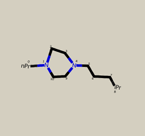 CCCN1CCN(CCCC(C)C)CC1